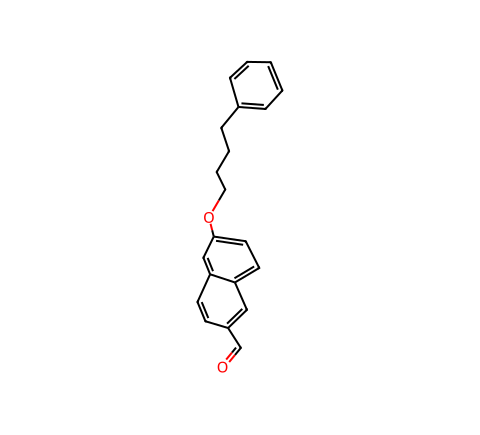 O=Cc1ccc2cc(OCCCCc3ccccc3)ccc2c1